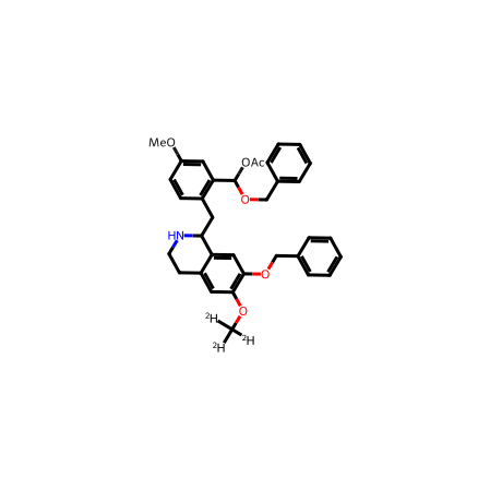 [2H]C([2H])([2H])Oc1cc2c(cc1OCc1ccccc1)C(Cc1ccc(OC)cc1C(OCc1ccccc1)OC(C)=O)NCC2